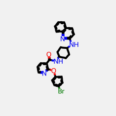 O=C(NC1CCC(Nc2ccc3ccccc3n2)CC1)c1cccnc1Oc1ccc(Br)cc1